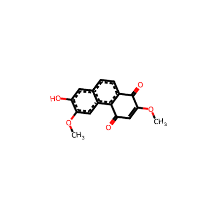 COC1=CC(=O)c2c(ccc3cc(O)c(OC)cc23)C1=O